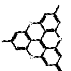 C=c1cc2oc3cc(C)cc4oc5cc(C)cc6oc(c1)c2c(c43)c56